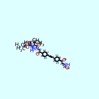 CC(C)(C)OC(=O)N[C@H](C(=O)NCC(=O)c1ccc(C#Cc2ccc(C(=O)CNC=O)cc2)cc1)C(C)(C)C